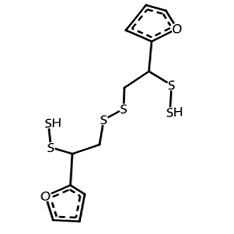 SSC(CSSCC(SS)c1ccco1)c1ccco1